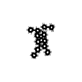 c1ccc(-c2ccc(N(c3cccc(-c4ccccc4)c3)c3cccc4c3-c3ccccc3C43c4ccccc4-c4c(N(c5ccc(-c6ccccc6)cc5)c5cccc(-c6ccccc6)c5)cccc43)cc2)cc1